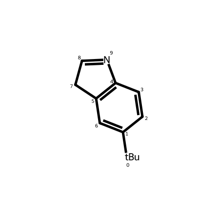 CC(C)(C)c1ccc2c(c1)CC=N2